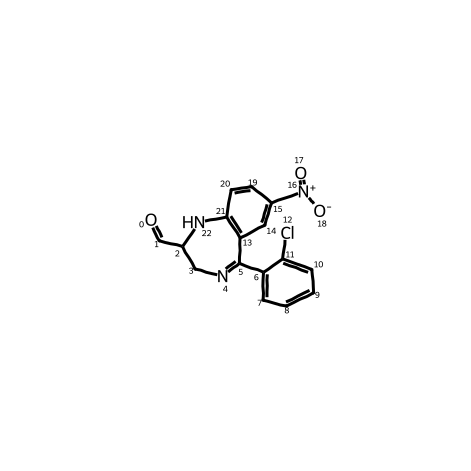 O=CC1CN=C(c2ccccc2Cl)c2cc([N+](=O)[O-])ccc2N1